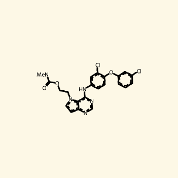 CNC(=O)OCCn1ccc2ncnc(Nc3ccc(Oc4cccc(Cl)c4)c(Cl)c3)c21